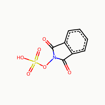 O=C1c2ccccc2C(=O)N1OS(=O)(=O)O